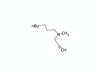 C#CCN(C)CCCCCCC